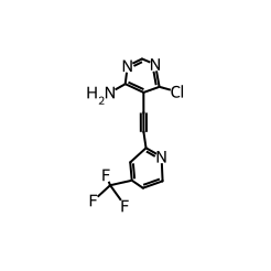 Nc1ncnc(Cl)c1C#Cc1cc(C(F)(F)F)ccn1